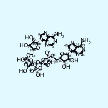 Nc1ncnc2c1ncn2[C@@H]1O[C@H](COP(=O)(O)OP(=O)(O)OP(=O)(O)OP(=O)(O)OP(=O)(O)OC[C@H]2O[C@@H](n3cnc4c(N)ncnc43)[C@H](O)[C@@H]2O)[C@@H](O)[C@H]1O